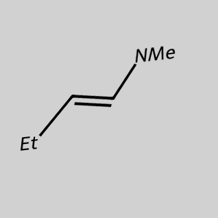 CC/C=C/NC